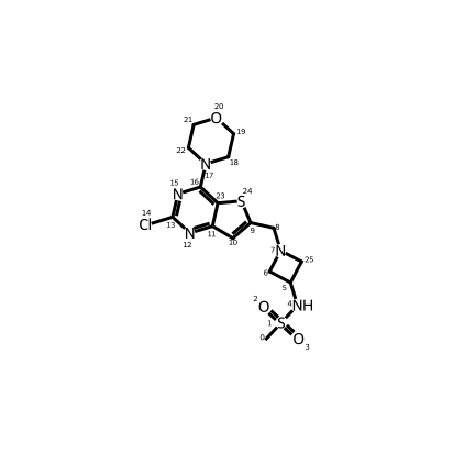 CS(=O)(=O)NC1CN(Cc2cc3nc(Cl)nc(N4CCOCC4)c3s2)C1